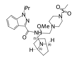 COC(CN1CCN(S(C)(=O)=O)CC1)CN1[C@@H]2CC[C@H]1C[C@H](NC(=O)c1nn(C(C)C)c3ccccc13)C2